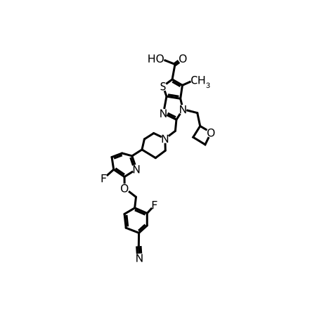 Cc1c(C(=O)O)sc2nc(CN3CCC(c4ccc(F)c(OCc5ccc(C#N)cc5F)n4)CC3)n(CC3CCO3)c12